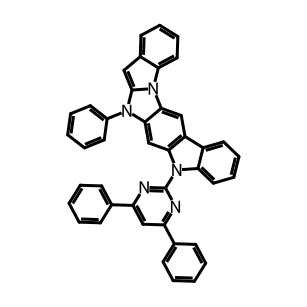 c1ccc(-c2cc(-c3ccccc3)nc(-n3c4ccccc4c4cc5c(cc43)n(-c3ccccc3)c3cc4ccccc4n53)n2)cc1